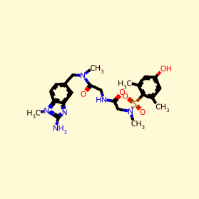 Cc1cc(O)cc(C)c1S(=O)(=O)N(C)CC(=O)NCC(=O)N(C)Cc1ccc2c(c1)nc(N)n2C